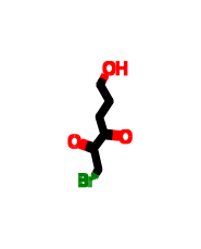 O=C(CBr)C(=O)CCCO